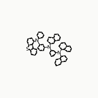 c1ccc(N(c2cccc(N(c3cccc(N(c4cccc5ccccc45)c4cccc5ccccc45)c3)c3ccc4ccccc4c3)c2)c2cccc3sc4ccccc4c23)cc1